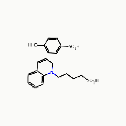 Cc1ccc(S(=O)(=O)O)cc1.O=S(=O)(O)CCCCN1CC=Cc2ccccc21